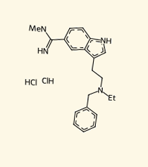 CCN(CCc1c[nH]c2ccc(C(=N)NC)cc12)Cc1ccccc1.Cl.Cl